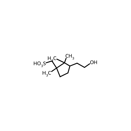 CC1(CS(=O)(=O)O)CCC(CCO)C1(C)C